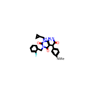 CNc1ccc(C(C(N)=O)c2c(N)n(CC3CC3)c(=O)n(Cc3ccccc3F)c2=O)cc1